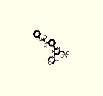 C[C@H]1COCCN1c1cc(CS(C)(=O)=O)nc(-c2cccc(NC(=O)Nc3ccccc3)c2)n1